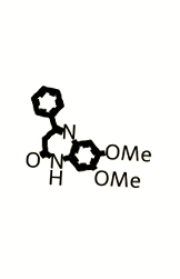 COc1cc2c(cc1OC)NC(=O)CC(c1ccccc1)=N2